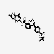 Cc1cn2nc(NC(=O)c3cccc4c(C5CCN(C(=O)OC(C)(C)C)CC5)cnnc34)cc(C)c2n1